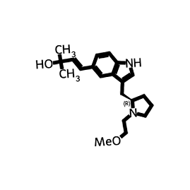 COCCN1CCC[C@@H]1Cc1c[nH]c2ccc(C=CC(C)(C)O)cc12